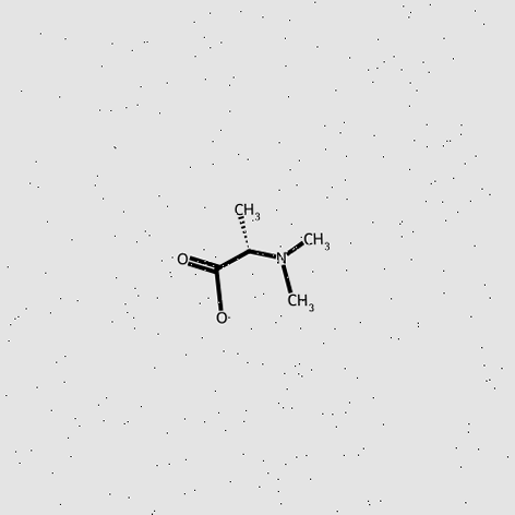 C[C@@H](C([O])=O)N(C)C